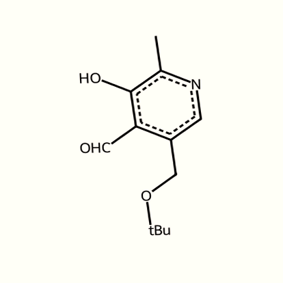 Cc1ncc(COC(C)(C)C)c(C=O)c1O